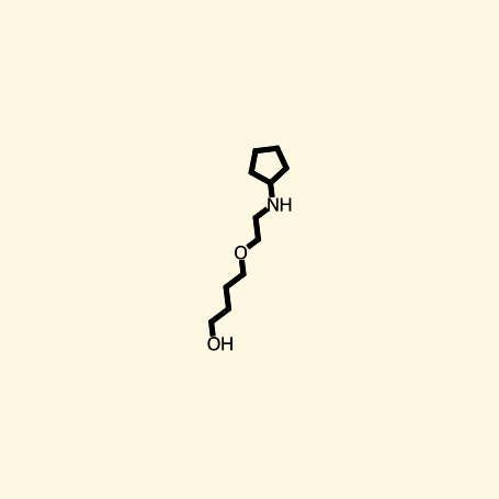 OCCCCOCCNC1CCCC1